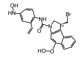 C=Cc1cc(NO)ccc1NC(=O)N1C[C@@H](CBr)c2c1cc(OO)c1ccccc21